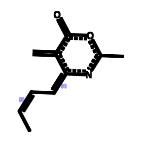 C=c1c(=O)oc(C)n/c1=C/C=C\C